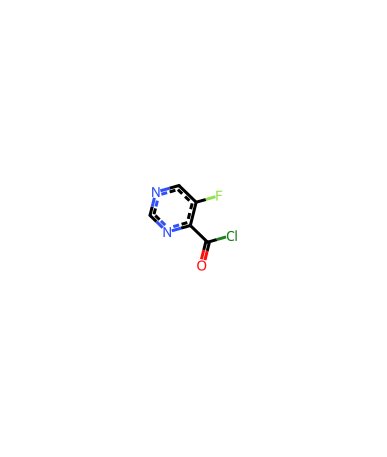 O=C(Cl)c1ncncc1F